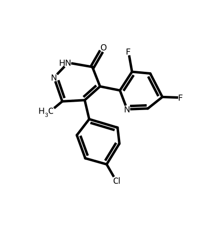 Cc1n[nH]c(=O)c(-c2ncc(F)cc2F)c1-c1ccc(Cl)cc1